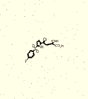 O=C(O)/C(O)=C/C(=O)c1ccc(S(=O)(=O)c2ccc(F)cc2)[nH]1